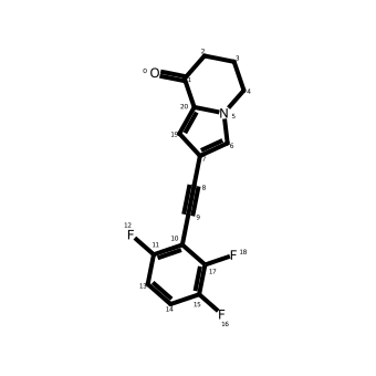 O=C1CCCn2cc(C#Cc3c(F)ccc(F)c3F)cc21